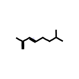 C=C(C)/C=C/CCC(C)C